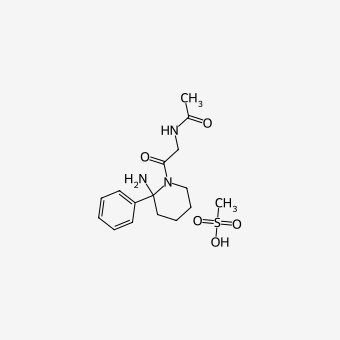 CC(=O)NCC(=O)N1CCCCC1(N)c1ccccc1.CS(=O)(=O)O